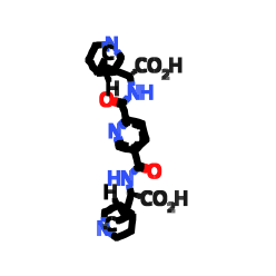 O=C(N[C@@H](C(=O)O)[C@H]1CN2CCC1CC2)c1ccc(C(=O)N[C@@H](C(=O)O)[C@H]2CN3CCC2CC3)nc1